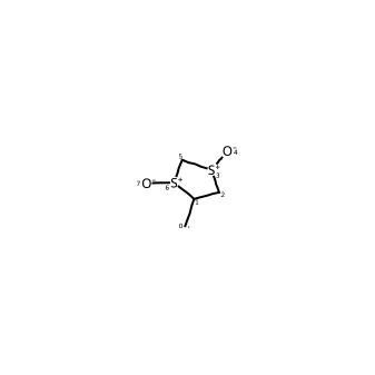 [CH2]C1C[S+]([O-])C[S+]1[O-]